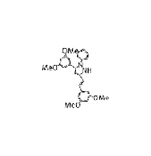 COc1cc(C=CC2=CC(c3cc(OC)cc(OC)c3)N(c3ccccc3)N2)cc(OC)c1